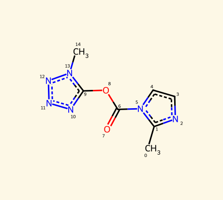 Cc1nccn1C(=O)Oc1nnnn1C